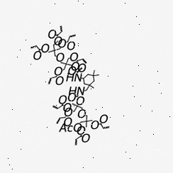 C=CC(=O)OCC(COCC(COC(=O)C=C)(COC(=O)C=C)OC(=O)NCC1(C)CC(NC(=O)OCC(COCC(COC(=O)C=C)(COC(=O)C=C)COC(=O)C=C)(COC(=O)C=C)COC(=O)C=C)CC(C)(C)C1)(COC(C)=O)COC(=O)C=C